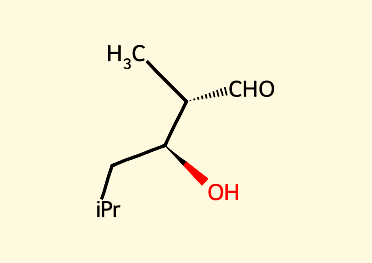 CC(C)C[C@H](O)[C@H](C)C=O